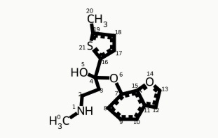 CNCCC(O)(Oc1cccc2ccoc12)c1ccc(C)s1